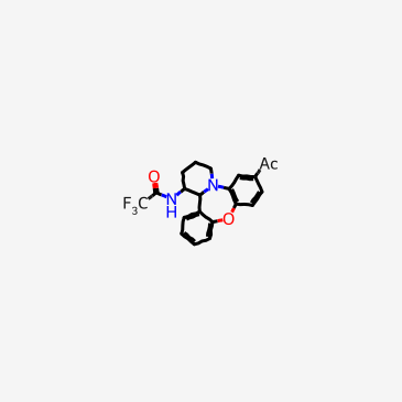 CC(=O)c1ccc2c(c1)N1CCCC(NC(=O)C(F)(F)F)C1c1ccccc1O2